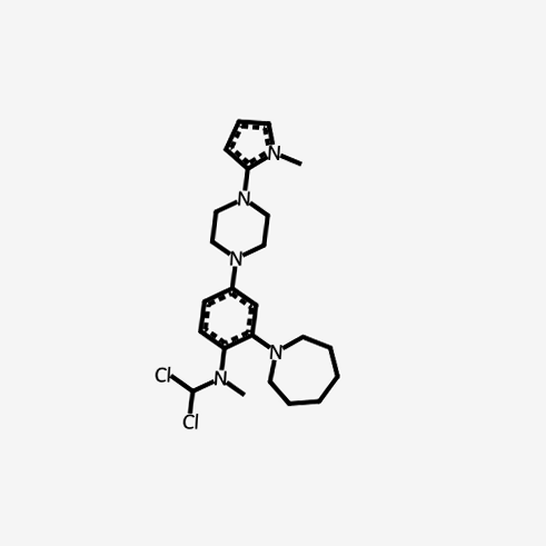 CN(c1ccc(N2CCN(c3cccn3C)CC2)cc1N1CCCCCC1)C(Cl)Cl